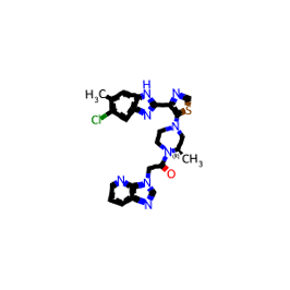 Cc1cc2[nH]c(-c3ncsc3N3CCN(C(=O)Cn4cnc5cccnc54)[C@H](C)C3)nc2cc1Cl